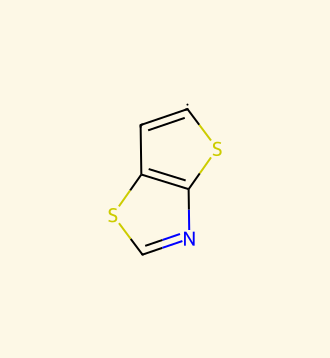 [c]1cc2scnc2s1